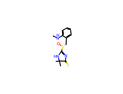 CNc1ccccc1C[S+]([O-])C1=NC(=S)C(C)(C)N1